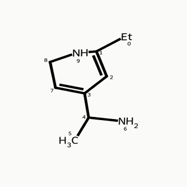 CCC1=CC(C(C)N)=CCN1